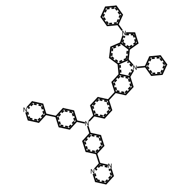 c1ccc(-n2ccc3c2ccc2c4cc(-c5ccc(N(c6ccc(-c7ccncc7)cc6)c6ccc(-c7ncccn7)cc6)cc5)ccc4n(-c4ccccc4)c23)cc1